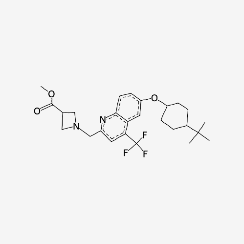 COC(=O)C1CN(Cc2cc(C(F)(F)F)c3cc(OC4CCC(C(C)(C)C)CC4)ccc3n2)C1